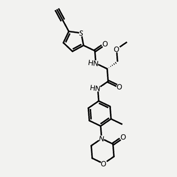 C#Cc1ccc(C(=O)N[C@H](COC)C(=O)Nc2ccc(N3CCOCC3=O)c(C)c2)s1